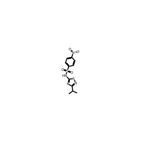 CC(C)c1nsc(NS(=O)(=O)c2ccc([N+](=O)[O-])cc2)n1